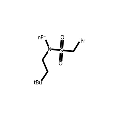 CCCN(CCC(C)(C)C)S(=O)(=O)CC(C)C